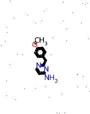 COc1ccc(Cc2nccc(N)n2)cc1